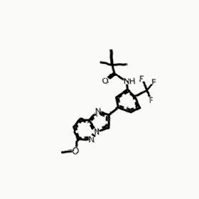 COc1ccc2nc(-c3ccc(C(F)(F)F)c(NC(=O)C(C)(C)C)c3)cn2n1